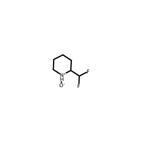 [O-][NH+]1CCCCC1C(F)F